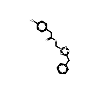 O=C(Cc1ccc(O)cc1)OCn1nnc(Cc2ccccc2)n1